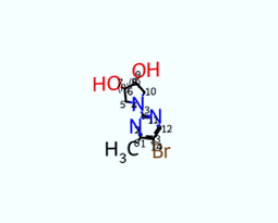 Cc1nc(N2C[C@@H](O)[C@H](O)C2)ncc1Br